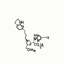 COCC(F)CN(CCCCc1ccc2c(n1)NCCC2)CCC(Nc1ncc(C2CC2)cn1)C(=O)O